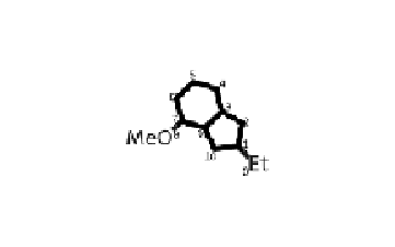 CCC1CC2CCCC(OC)C2C1